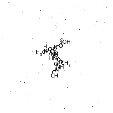 C#C/C=C\C=N/CNC(=O)Cc1cc(NC(=O)CN(Cc2ccccc2CNC)C(=O)C2(C)CCN(Cc3cccc(C(=O)O)c3)CC2)ccc1CC